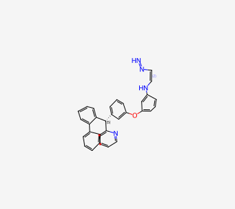 N=N/C=C\Nc1cccc(Oc2cccc([C@H](c3ccccn3)c3ccccc3-c3ccccc3)c2)c1